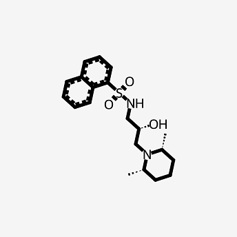 C[C@@H]1CCC[C@H](C)N1C[C@@H](O)CNS(=O)(=O)c1cccc2ccccc12